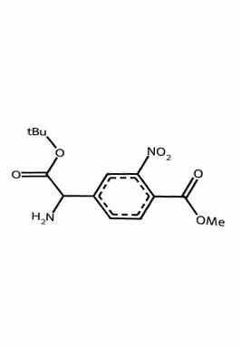 COC(=O)c1ccc(C(N)C(=O)OC(C)(C)C)cc1[N+](=O)[O-]